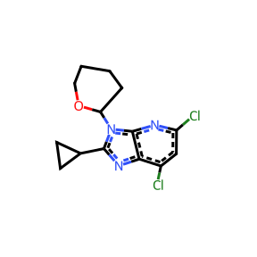 Clc1cc(Cl)c2nc(C3CC3)n(C3CCCCO3)c2n1